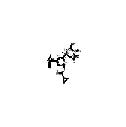 C=C1N2CC12c1cc(NC(=O)C2CC2)nc([C@]2(C)CS(=O)(=O)N(C)C(=N)N2)c1